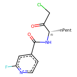 CCCCC[C@H](NC(=O)c1ccnc(F)c1)C(=O)CCl